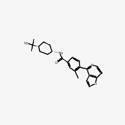 Cc1cc(C(=O)N[C@H]2CC[C@H](C(C)(C)O)CC2)ccc1-c1nccc2occc12